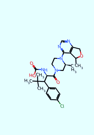 CC1OCc2ncnc(N3CCN(C(=O)[C@H](NC(=O)O)C(c4ccc(Cl)cc4)C(C)(C)C)C[C@@H]3C)c21